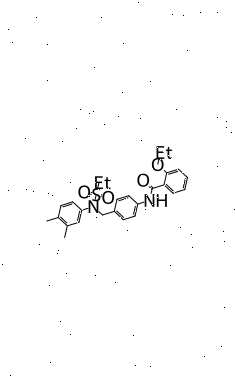 CCOc1ccccc1C(=O)Nc1ccc(CN(c2ccc(C)c(C)c2)S(=O)(=O)CC)cc1